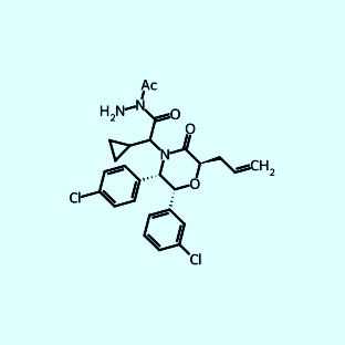 C=CC[C@H]1O[C@H](c2cccc(Cl)c2)[C@H](c2ccc(Cl)cc2)N(C(C(=O)N(N)C(C)=O)C2CC2)C1=O